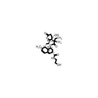 CCC(C)(C)C(=O)O[C@H]1C[C@H](C(=O)NCCO)C=C2C=C[C@H](C)[C@H](CC[C@@H]3C[C@@H](O)CC(=O)O3)[C@H]21